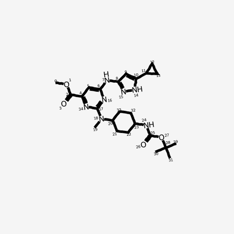 COC(=O)c1cc(Nc2cc(C3CC3)[nH]n2)nc(N(C)C2CCC(NC(=O)OC(C)(C)C)CC2)n1